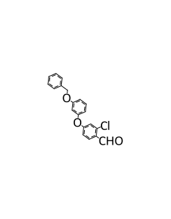 O=Cc1ccc(Oc2cccc(OCc3ccccc3)c2)cc1Cl